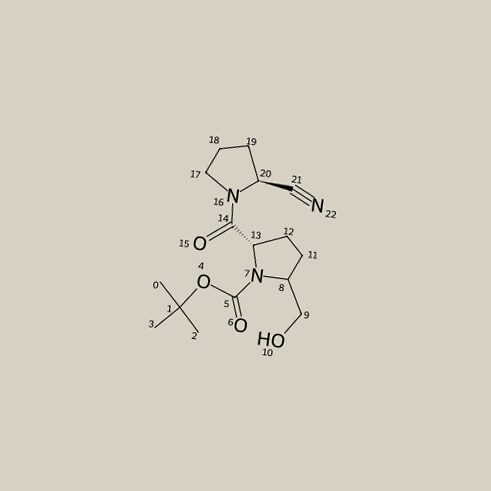 CC(C)(C)OC(=O)N1C(CO)CC[C@H]1C(=O)N1CCC[C@H]1C#N